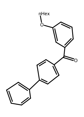 CCCCCCOc1cccc(C(=O)c2ccc(-c3ccccc3)cc2)c1